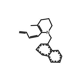 C=C/C=C\C1=C(C)CCCN1Cc1cccc2ccccc12